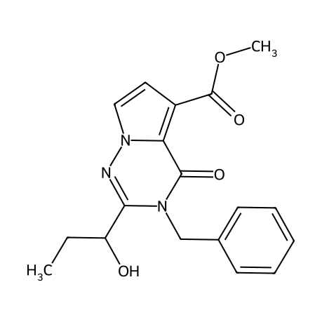 CCC(O)c1nn2ccc(C(=O)OC)c2c(=O)n1Cc1ccccc1